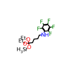 CCOC(CCCCNc1c(F)c(F)c(F)c(F)c1F)(O[SiH3])OCC